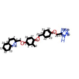 Cc1cc(OCc2ccc3ccccc3n2)ccc1OCc1ccc(OCc2nnn[nH]2)cc1